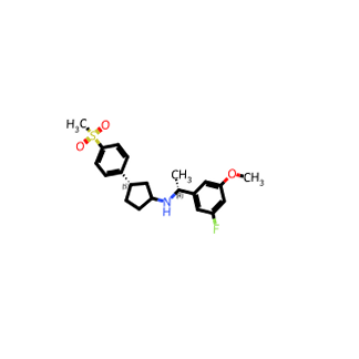 COc1cc(F)cc([C@@H](C)NC2CC[C@H](c3ccc(S(C)(=O)=O)cc3)C2)c1